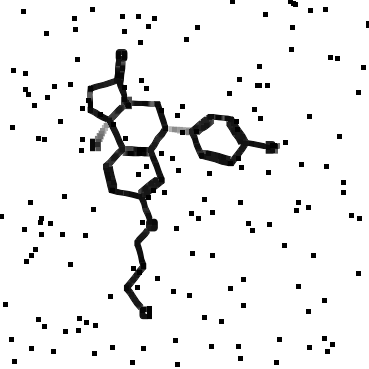 O=C1CC[C@@H]2c3ccc(OCCCCl)cc3[C@@H](c3ccc(Br)cc3)CN12